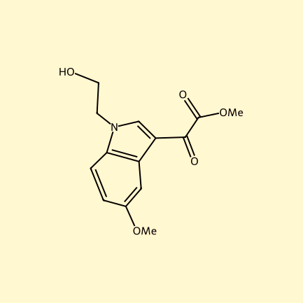 COC(=O)C(=O)c1cn(CCO)c2ccc(OC)cc12